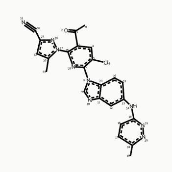 CC(=O)c1cc(Cl)c(-n2cnc3cc(Nc4ccc(C)nn4)ccc32)nc1-n1nc(C#N)cc1C